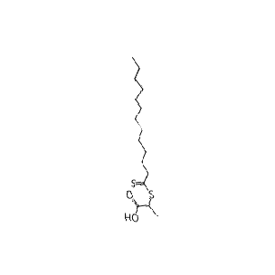 CCCCCCCCCCCCC(=S)SC(C)C(=O)O